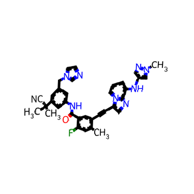 Cc1cc(F)c(C(=O)Nc2cc(Cn3ccnc3)cc(C(C)(C)C#N)c2)cc1C#Cc1cnc2c(Nc3cnn(C)c3)cccn12